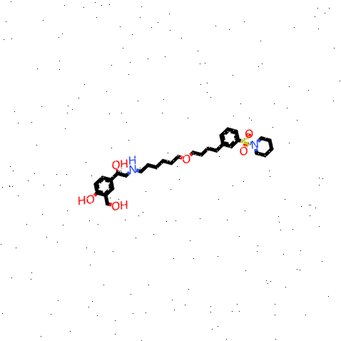 O=S(=O)(c1cccc(CCCCOCCCCCCNC[C@H](O)c2ccc(O)c(CO)c2)c1)N1CCCCC1